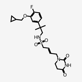 CC(C)(CNS(=O)(=O)C/C=C/CN1CCC(=O)NC1=O)c1ccc(F)c(OCC2CC2)c1